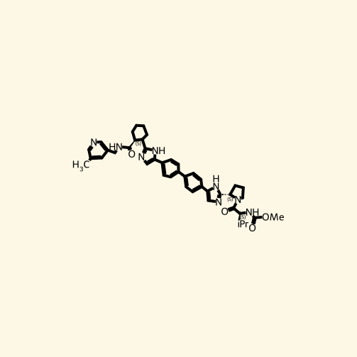 COC(=O)N[C@H](C(=O)N1CCC[C@H]1c1ncc(-c2ccc(-c3ccc(-c4cnc(C5CCCC[C@@H]5C(=O)NCc5cncc(C)c5)[nH]4)cc3)cc2)[nH]1)C(C)C